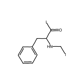 O=C(I)C(Cc1ccccc1)NCI